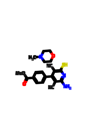 CN1CCOCC1.COC(=O)c1ccc(-c2c(C#N)c(N)nc(S)c2C#N)cc1